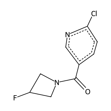 O=C(c1ccc(Cl)nc1)N1CC(F)C1